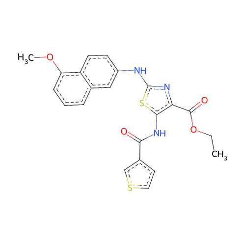 CCOC(=O)c1nc(Nc2ccc3c(OC)cccc3c2)sc1NC(=O)c1ccsc1